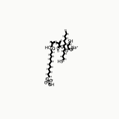 C=C(C)C(=O)O.C=C(C)C(=O)OC.CCCCCCCCCCCCOS(=O)(=O)O.CCCCCCCCCCCCS.O=C([O-])CCS.[Na+]